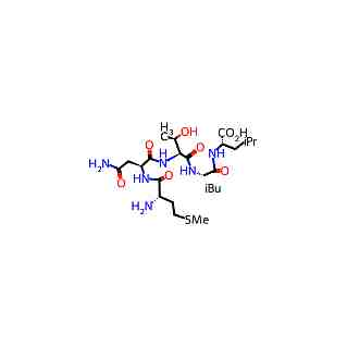 CC[C@H](C)[C@H](NC(=O)[C@@H](NC(=O)[C@H](CC(N)=O)NC(=O)[C@@H](N)CCSC)[C@@H](C)O)C(=O)N[C@@H](CC(C)C)C(=O)O